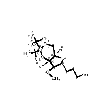 COC1[C@H](CCCO)O[C@@H]2CO[Si](C(C)(C)C)(C(C)(C)C)O[C@@H]12